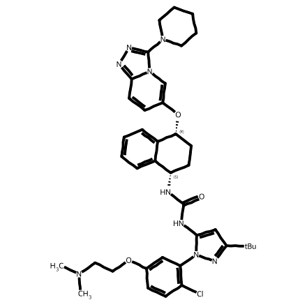 CN(C)CCOc1ccc(Cl)c(-n2nc(C(C)(C)C)cc2NC(=O)N[C@H]2CC[C@@H](Oc3ccc4nnc(N5CCCCC5)n4c3)c3ccccc32)c1